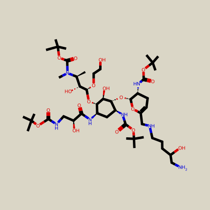 C[C@@H]([C@@H](O)[C@H](OCCO)O[C@@H]1[C@@H](O)[C@H](O[C@H]2OC(CNCCCC(O)CN)=CC[C@H]2NC(=O)OC(C)(C)C)[C@@H](NC(=O)OC(C)(C)C)C[C@H]1NC(=O)[C@@H](O)CNC(=O)OC(C)(C)C)N(C)C(=O)OC(C)(C)C